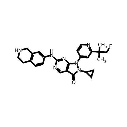 CC(C)(CF)c1cc(-n2c3nc(Nc4ccc5c(c4)CNCC5)ncc3c(=O)n2C2CC2)ccn1